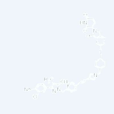 Cc1c(-c2ccc(C#N)c(Cl)c2)nn(Cc2ccc(C#CC3CN(CC4CCC(C#Cc5ccc6c(c5)C(=O)N(C5CCC(=O)NC5=O)C6)CC4)C3)cc2)c1C